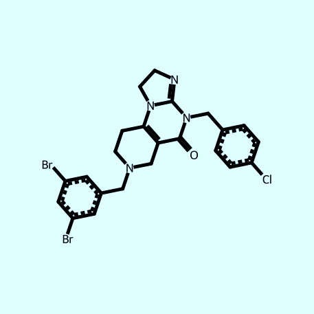 O=C1C2=C(CCN(Cc3cc(Br)cc(Br)c3)C2)N2CCN=C2N1Cc1ccc(Cl)cc1